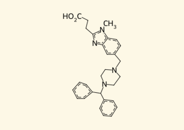 Cn1c(CCC(=O)O)nc2cc(CN3CCN(C(c4ccccc4)c4ccccc4)CC3)ccc21